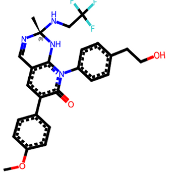 COc1ccc(-c2cc3c(n(-c4ccc(CCO)cc4)c2=O)N[C@@](C)(NCC(F)(F)F)N=C3)cc1